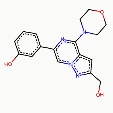 OCc1cc2c(N3CCOCC3)nc(-c3cccc(O)c3)cn2n1